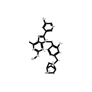 CCOc1nc(C)c2nc(-c3cncc(F)c3)n(Cc3ccc(CN4CC5CC4CN5)cc3F)c2n1